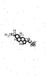 COC[C@@]1(O)CC[C@]2(C)C3CC[C@@]4(C)C(CC[C@@H]4C(=O)CSS(=O)(=O)[O-])C3CC[C@H]2C1.[Na+]